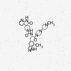 Cc1cc(C[C@@H](NC(=O)N2CCC3(CC2)C(=O)Nc2ncccc23)C(=O)N2CCN(C3CCN(C)CC3)CC2)cc2cn[nH]c12